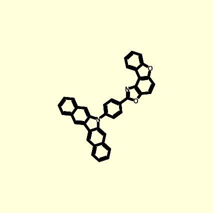 c1ccc2cc3c(cc2c1)c1cc2ccccc2cc1n3-c1ccc(-c2nc3c(ccc4oc5ccccc5c43)o2)cc1